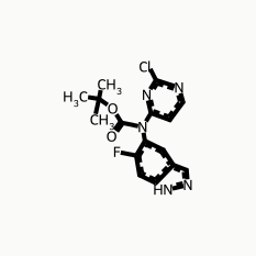 CC(C)(C)OC(=O)N(c1ccnc(Cl)n1)c1cc2cn[nH]c2cc1F